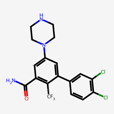 NC(=O)c1[c]c(N2CCNCC2)cc(-c2ccc(Cl)c(Cl)c2)c1C(F)(F)F